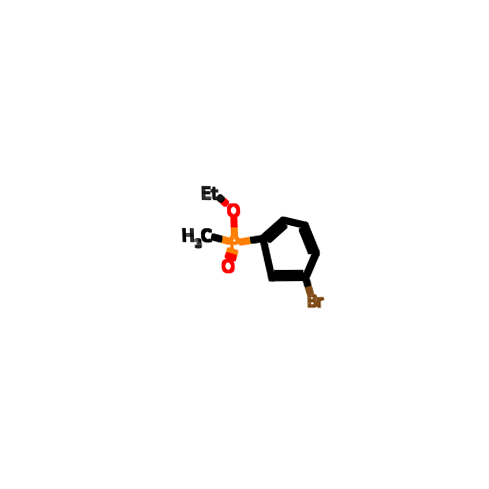 CCOP(C)(=O)c1cccc(Br)c1